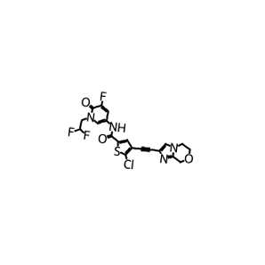 O=C(Nc1cc(F)c(=O)n(CC(F)F)c1)c1cc(C#Cc2cn3c(n2)COCC3)c(Cl)s1